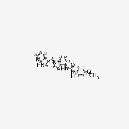 COc1ccc(NC(=O)Nc2cccc3c2ccn3Cc2c[nH]c3ncccc23)cc1